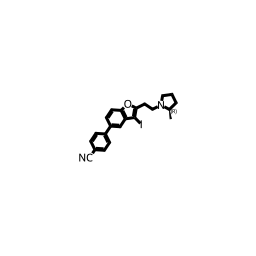 C[C@@H]1CCCN1CCc1oc2ccc(-c3ccc(C#N)cc3)cc2c1I